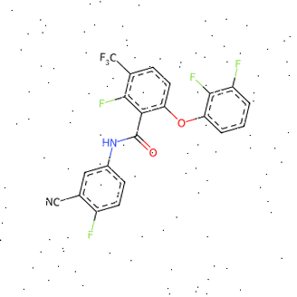 N#Cc1cc(NC(=O)c2c(Oc3cccc(F)c3F)ccc(C(F)(F)F)c2F)ccc1F